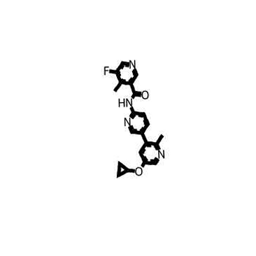 Cc1ncc(OC2CC2)cc1-c1ccc(NC(=O)c2cncc(F)c2C)nc1